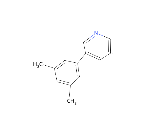 Cc1cc(C)cc(-c2c[c]cnc2)c1